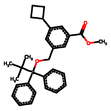 COC(=O)c1cc(CO[Si](c2ccccc2)(c2ccccc2)C(C)(C)C)cc(C2CCC2)c1